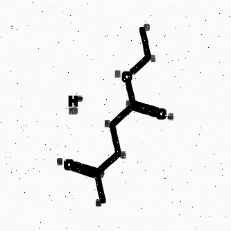 CCOC(=O)CCC(C)=O.[H+]